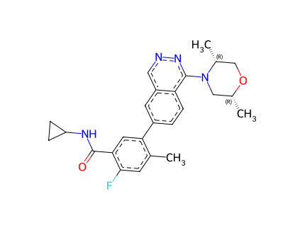 Cc1cc(F)c(C(=O)NC2CC2)cc1-c1ccc2c(N3C[C@@H](C)OC[C@H]3C)nncc2c1